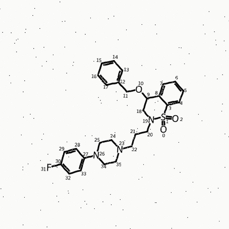 O=S1(=O)c2ccccc2C(OCc2ccccc2)CN1CCCN1CCN(c2ccc(F)cc2)CC1